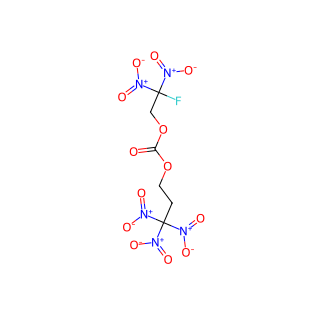 O=C(OCCC([N+](=O)[O-])([N+](=O)[O-])[N+](=O)[O-])OCC(F)([N+](=O)[O-])[N+](=O)[O-]